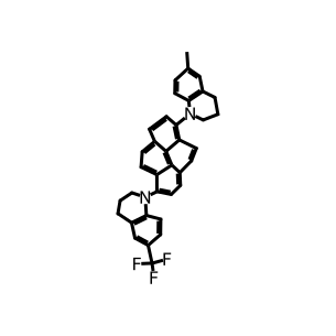 Cc1ccc2c(c1)CCCN2c1ccc2ccc3c(N4CCCc5cc(C(F)(F)F)ccc54)ccc4ccc1c2c43